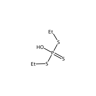 CCSP(O)(=S)SCC